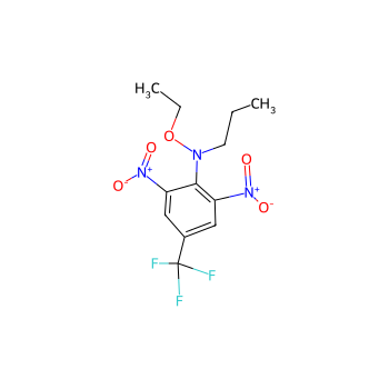 CCCN(OCC)c1c([N+](=O)[O-])cc(C(F)(F)F)cc1[N+](=O)[O-]